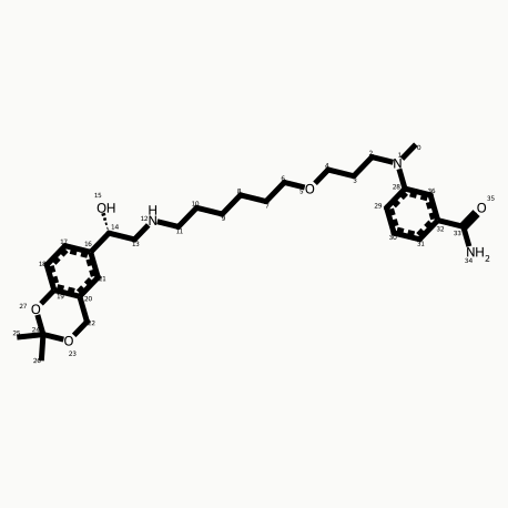 CN(CCCOCCCCCCNC[C@@H](O)c1ccc2c(c1)COC(C)(C)O2)c1cccc(C(N)=O)c1